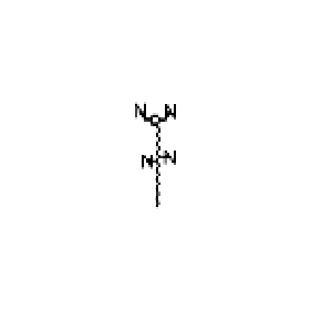 CCCCCCCCCCC(C#N)C(C#N)CCCCCCc1cc(=CC#N)ccc1=CC#N